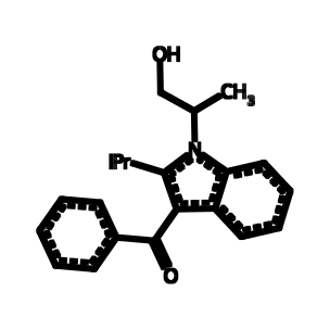 CC(C)c1c(C(=O)c2ccccc2)c2ccccc2n1C(C)CO